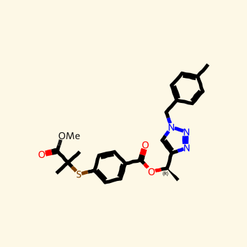 COC(=O)C(C)(C)Sc1ccc(C(=O)O[C@H](C)c2cn(Cc3ccc(C)cc3)nn2)cc1